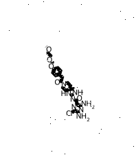 COCCOCOc1ccc(CC(=O)N2CCC3(CC2)CN/C(=N\C(=O)c2nc(Cl)c(N)nc2N)N3)cc1